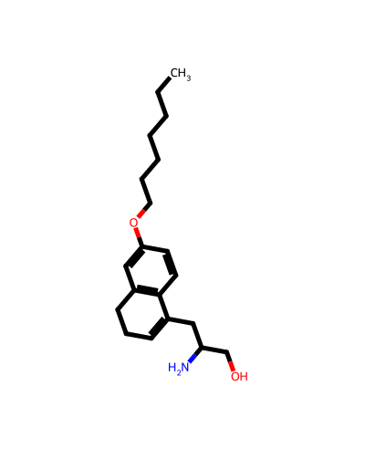 CCCCCCCOc1ccc2c(c1)CCC=C2CC(N)CO